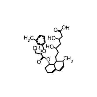 CCC(Oc1cccc(C)c1)C(=O)OC1CCC=C2C=CC(C)C(CCC(O)CC(O)CC(=O)O)C21